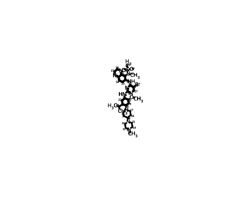 COc1cc(N2CCC(N3CCN(C)CC3)CC2)c(C(C)C)cc1Nc1ncc(Br)c(Nc2ccc3nccnc3c2N(C)S(C)(=O)=O)n1